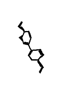 CC=C1C=CC(C2=CCC(=CC)C=C2)=CC1